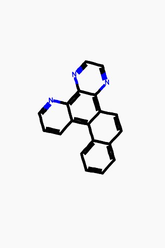 c1ccc2c(c1)ccc1c3nccnc3c3ncccc3c21